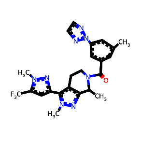 Cc1cc(C(=O)N2CCc3c(nn(C)c3-c3cc(C(F)(F)F)n(C)n3)C2C)cc(-n2nccn2)c1